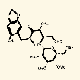 CCCN(Cc1cc2c(cc1C)OCO2)C(=O)[C@@H](OC(C)=O)[C@@H](CC=O)O[C@@H]1O[C@H](COC(C)=O)[C@H](OC)[C@H](OC)[C@H]1OC(C)=O